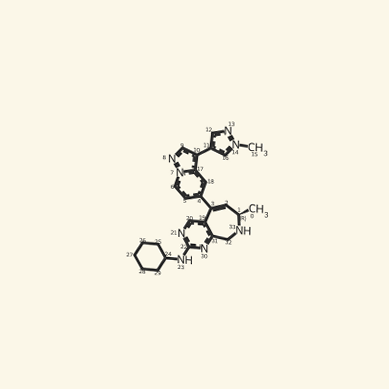 C[C@@H]1C=C(c2ccn3ncc(-c4cnn(C)c4)c3c2)c2cnc(NC3CCCCC3)nc2CN1